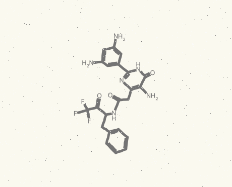 Nc1cc(N)cc(-c2nc(CC(=O)NC(Cc3ccccc3)C(=O)C(F)(F)F)c(N)c(=O)[nH]2)c1